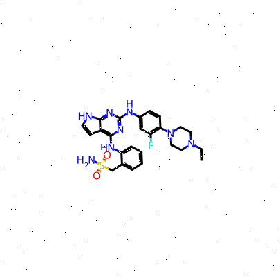 CCN1CCN(c2ccc(Nc3nc(Nc4ccccc4CS(N)(=O)=O)c4cc[nH]c4n3)cc2F)CC1